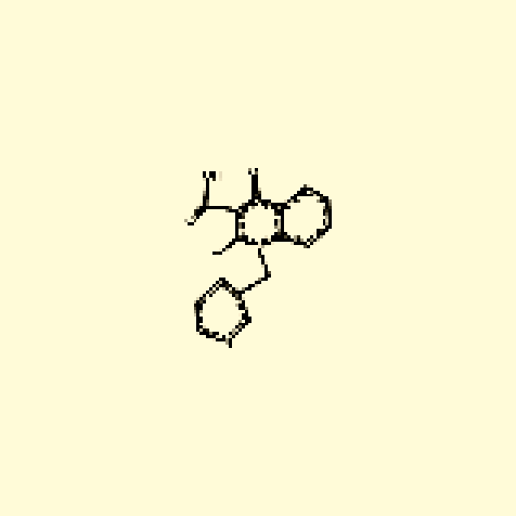 O=C(O)c1c(F)n(Cc2cccnc2)c2ccccc2c1=O